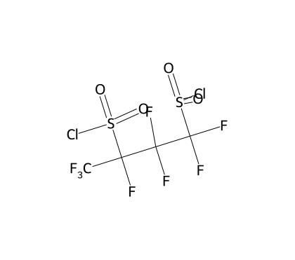 O=S(=O)(Cl)C(F)(F)C(F)(F)C(F)(C(F)(F)F)S(=O)(=O)Cl